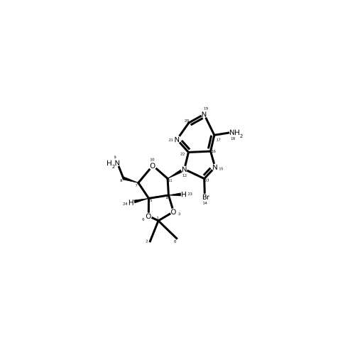 CC1(C)O[C@@H]2[C@H](O1)[C@@H](CN)O[C@H]2n1c(Br)nc2c(N)ncnc21